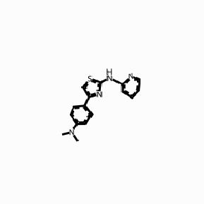 CN(C)c1ccc(-c2csc(Nc3ccccn3)n2)cc1